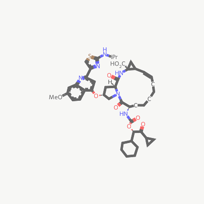 COc1ccc2c(O[C@@H]3C[C@H]4C(=O)N[C@]5(C(=O)O)CC5/C=C\CCCCC[C@H](NC(=O)O[C@H](C(=O)C5CC5)C5CCCCC5)C(=O)N4C3)cc(-c3csc(NC(C)C)n3)nc2c1